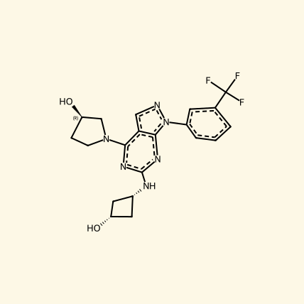 O[C@@H]1CCN(c2nc(N[C@H]3C[C@@H](O)C3)nc3c2cnn3-c2cccc(C(F)(F)F)c2)C1